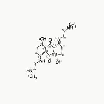 CNCCNc1ccc(O)c2c1C(=O)c1c(O)ccc(NCCNC)c1C2=O